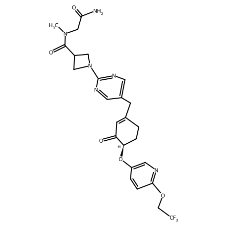 CN(CC(N)=O)C(=O)C1CN(c2ncc(CC3=CC(=O)[C@H](Oc4ccc(OCC(F)(F)F)nc4)CC3)cn2)C1